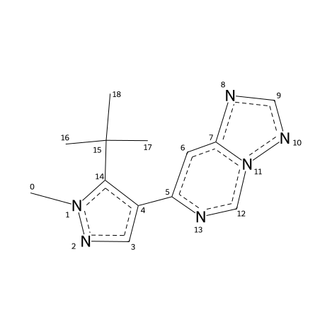 Cn1ncc(-c2cc3ncnn3cn2)c1C(C)(C)C